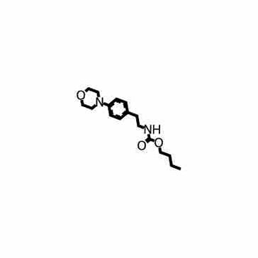 CCCCOC(=O)NCCc1ccc(N2CCOCC2)cc1